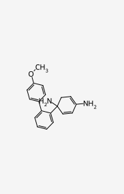 COc1ccc(-c2ccccc2C2(N)C=CC(N)=CC2)cc1